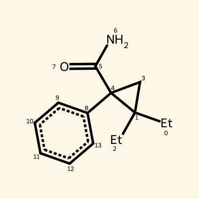 CCC1(CC)CC1(C(N)=O)c1ccccc1